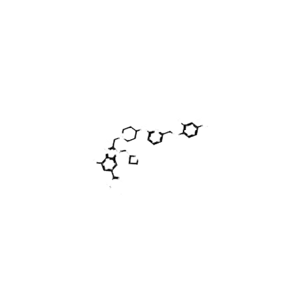 COC(=O)c1cc(F)c2nc(CN3CCC(Oc4cccc(COc5ccc(Cl)cc5F)n4)CC3)n(C[C@@H]3CCO3)c2c1